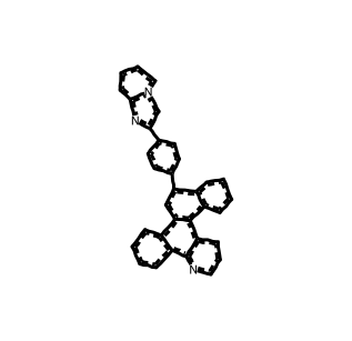 c1ccc2c(c1)c(-c1ccc(-c3cn4ccccc4n3)cc1)cc1c3ccccc3c3ncccc3c21